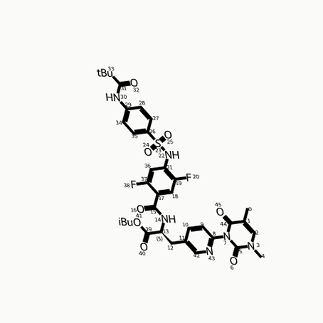 Cc1cn(C)c(=O)n(-c2ccc(C[C@H](NC(=O)c3cc(F)c(NS(=O)(=O)c4ccc(NC(=O)C(C)(C)C)cc4)cc3F)C(=O)OCC(C)C)cn2)c1=O